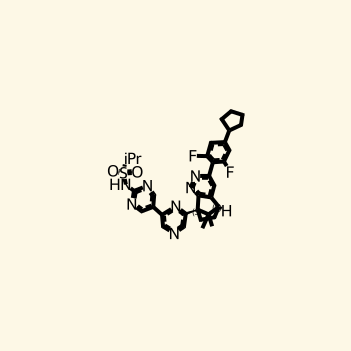 CC(C)S(=O)(=O)Nc1ncc(-c2cncc([C@@]34CC[C@@H](c5cc(-c6c(F)cc(C7CCCC7)cc6F)nnc53)C4(C)C)n2)cn1